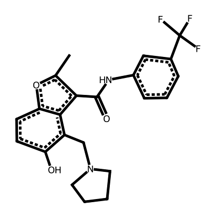 Cc1oc2ccc(O)c(CN3CCCC3)c2c1C(=O)Nc1cccc(C(F)(F)F)c1